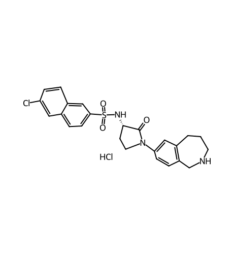 Cl.O=C1[C@@H](NS(=O)(=O)c2ccc3cc(Cl)ccc3c2)CCN1c1ccc2c(c1)CCCNC2